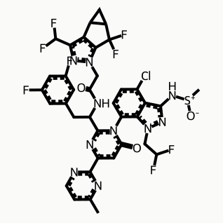 Cc1ccnc(-c2cc(=O)n(-c3ccc(Cl)c4c(N[S+](C)[O-])nn(CC(F)F)c34)c(C(Cc3cc(F)cc(F)c3)NC(=O)Cn3nc(C(F)F)c4c3C(F)(F)C3CC43)n2)n1